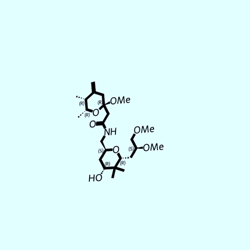 C=C1C[C@@](CC(=O)NC[C@@H]2C[C@@H](O)C(C)(C)[C@@H](C[C@@H](COC)OC)O2)(OC)O[C@H](C)[C@@H]1C